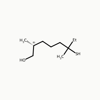 CCC(C)(S)CCC[C@@H](C)CO